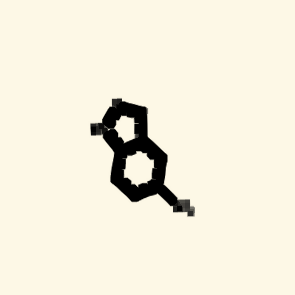 Nc1ccc2[nH]n[c]c2c1